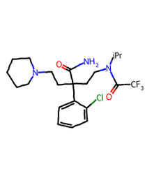 CC(C)N(CCC(CCN1CCCCC1)(C(N)=O)c1ccccc1Cl)C(=O)C(F)(F)F